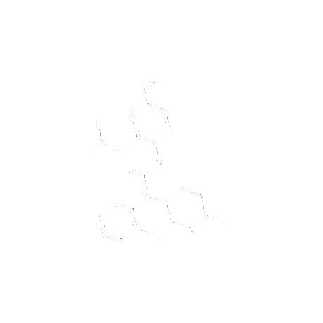 COc1ccc(NC(=O)N(c2ccccc2C(C)C)C2CCC(C(=O)O)CC2)c(OC(F)F)n1